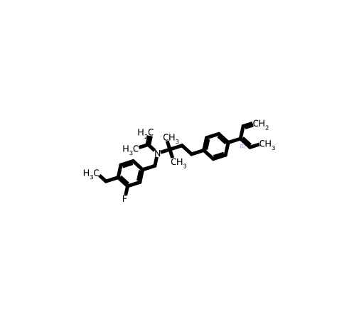 C=C/C(=C\C)c1ccc(CCC(C)(C)N(Cc2ccc(CC)c(F)c2)C(=C)C)cc1